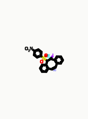 O=[N+]([O-])c1ccc(S(=O)(=O)C2c3ccccc3/C=C\c3ccccc3C2(F)I)cc1